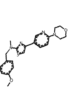 COc1ccc(CN(C)c2nc(-c3ccc(N4CCOCC4)nc3)cs2)cc1